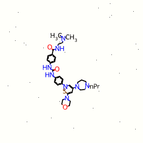 CCCN1CCCN(C2=CN(c3ccc(NC(=O)Nc4ccc(C(=O)NCCN(C)C)cc4)cc3)SC(N3CCOCC3)=C2)CC1